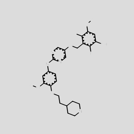 COc1cc(Nc2ncc(OCc3c(F)c(C)cc(OC)c3F)cn2)ccc1OCCC1CCNCC1